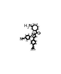 N#Cc1ccc(-n2nc(C(=O)C3CCCCC(N)CC3)cc2-c2ccc(C3CC3)cc2)cc1